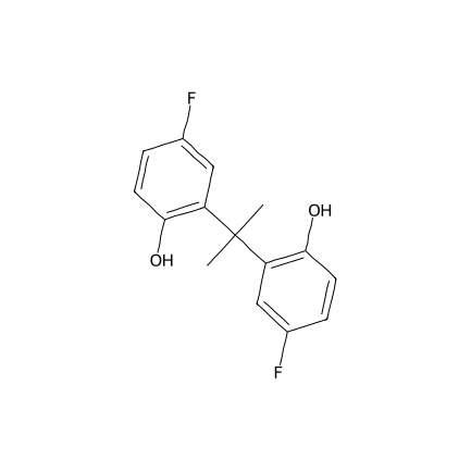 CC(C)(c1cc(F)ccc1O)c1cc(F)ccc1O